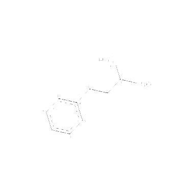 O=CC(CCc1ccccc1)C(=O)O